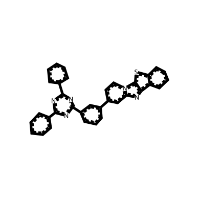 c1ccc(-c2nc(-c3ccccc3)nc(-c3cccc(-c4ccn5c(c4)nc4c6ccccc6sc45)c3)n2)cc1